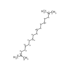 CN(C)CCSCCSCCSCCSCCN(C)C